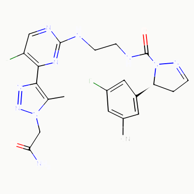 Cc1c(-c2nc(NCCNC(=O)N3N=CC[C@H]3c3cc(F)cc(C#N)c3)ncc2F)nnn1CC(N)=O